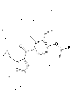 COc1c(OC(F)F)ccc(C(=O)c2cnoc2C2CC2)c1C